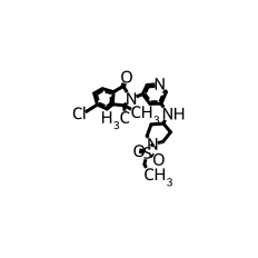 CCS(=O)(=O)N1CCC(Nc2cncc(N3C(=O)c4ccc(Cl)cc4C3(C)C)c2)CC1